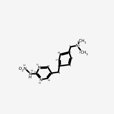 CN(C)Cc1ccc(Cc2cnc(N[N+](=O)[O-])nc2)cc1